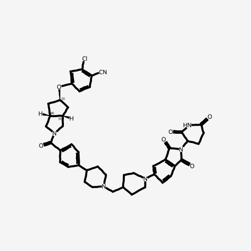 N#Cc1ccc(O[C@H]2C[C@@H]3CN(C(=O)c4ccc(C5CCN(CC6CCN(c7ccc8c(c7)C(=O)N(C7CCC(=O)NC7=O)C8=O)CC6)CC5)cc4)C[C@@H]3C2)cc1Cl